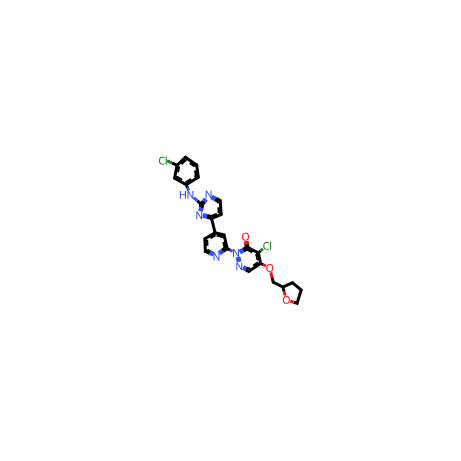 O=c1c(Cl)c(OCC2CCCO2)cnn1-c1cc(-c2ccnc(Nc3cccc(Cl)c3)n2)ccn1